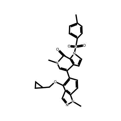 Cc1ccc(S(=O)(=O)n2ccc3c(-c4ccc5c(cnn5C)c4OCC4CC4)cn(C)c(=O)c32)cc1